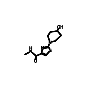 CNC(=O)c1csc(N2CCC(O)CC2)n1